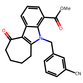 COC(=O)c1cccc2c3c(n(Cc4cccc(C#N)c4)c12)CCCCC3=O